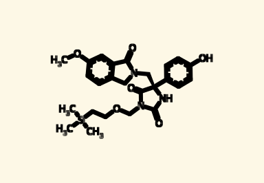 COc1ccc2c(c1)C(=O)N(C[C@@]1(c3ccc(O)cc3)NC(=O)N(COCC[Si](C)(C)C)C1=O)C2